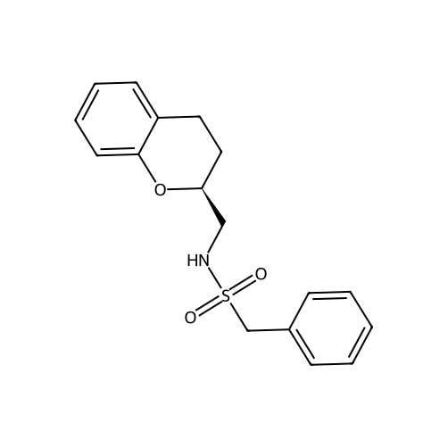 O=S(=O)(Cc1ccccc1)NC[C@@H]1CCc2ccccc2O1